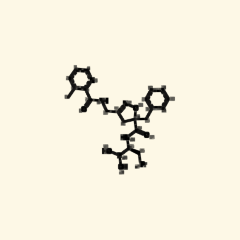 Cc1cccnc1C(=O)NCC1=NOC(Cc2ccccc2)(C(=O)N[C@@H](CC(C)C)B(O)O)C1